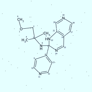 COCC(C)(C)NC1(c2ccncc2)N=Cc2ccncc2N1